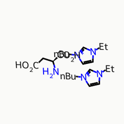 CCCC[n+]1ccn(CC)c1.CCCC[n+]1ccn(CC)c1.N[C@@H](CC(=O)O)C(=O)O